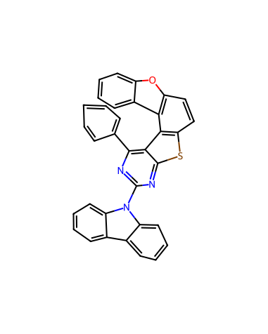 c1ccc(-c2nc(-n3c4ccccc4c4ccccc43)nc3sc4ccc5oc6ccccc6c5c4c23)cc1